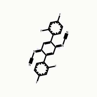 N#C/N=C1C=C(c2ccc(F)cc2F)/C(=N\C#N)C=C/1c1ccc(F)cc1F